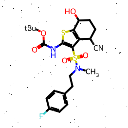 CN(CCc1ccc(F)cc1)S(=O)(=O)c1c(NC(=O)OC(C)(C)C)sc2c1C(C#N)CCC2O